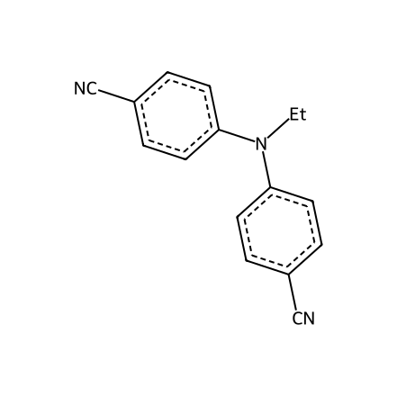 CCN(c1ccc(C#N)cc1)c1ccc(C#N)cc1